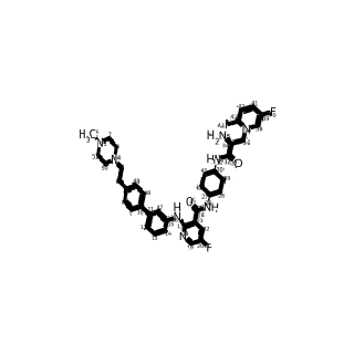 CN1CCN(CCc2ccc(-c3cccc(Nc4ncc(F)cc4C(=O)N[C@H]4CC[C@@H](NC(=O)C(N)CN5C=C(F)C=CC5I)CC4)c3)cc2)CC1